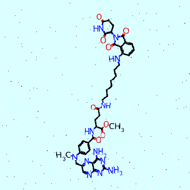 COC(=O)C(CCC(=O)NCCCCCCCCNc1cccc2c1C(=O)N(C1CCC(=O)NC1=O)C2=O)NC(=O)c1ccc(N(C)Cc2cnc3nc(N)nc(N)c3n2)cc1